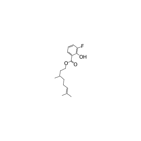 CC(C)=CCCC(C)CCOC(=O)c1cccc(F)c1O